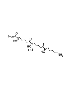 CCCCCCCCCC(=O)N(O)CCCCC(=O)N(O)CCCCC(=O)N(O)CCCCCN.Cl